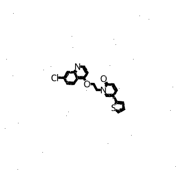 O=c1ccc(-c2cccs2)cn1CCOc1ccnc2cc(Cl)ccc12